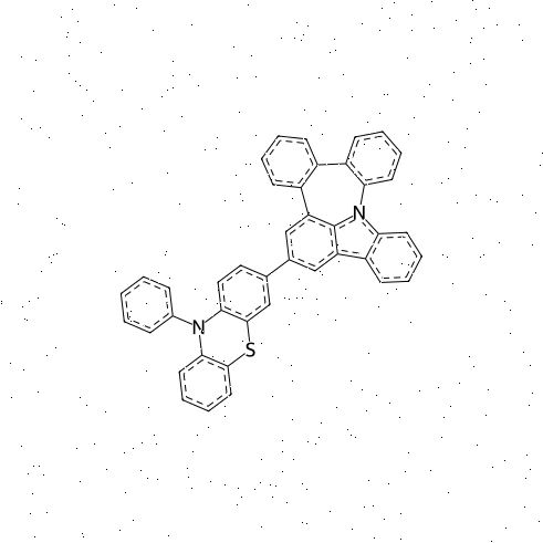 c1ccc(N2c3ccccc3Sc3cc(-c4cc5c6c(c4)c4ccccc4n6-c4ccccc4-c4ccccc4-5)ccc32)cc1